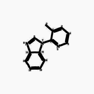 Cc1cccnc1-n1cnc2ccccc21